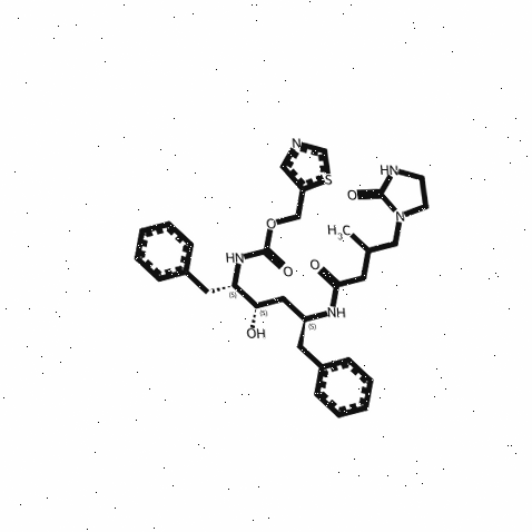 CC(CC(=O)N[C@@H](Cc1ccccc1)C[C@H](O)[C@H](Cc1ccccc1)NC(=O)OCc1cncs1)CN1CCNC1=O